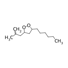 C=C(C)CC1CC(CCCCCC)OO1